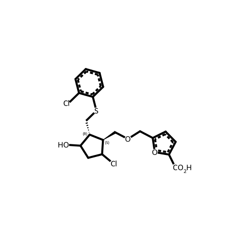 O=C(O)c1ccc(COC[C@H]2C(Cl)CC(O)[C@@H]2CSc2ccccc2Cl)o1